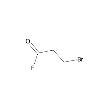 O=C(F)CCBr